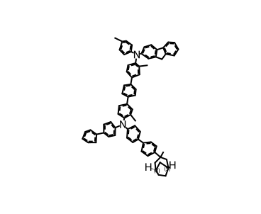 Cc1ccc(N(c2ccc3c(c2)Cc2ccccc2-3)c2ccc(-c3ccc(-c4ccc(N(c5ccc(-c6ccccc6)cc5)c5ccc(-c6ccc(C7(C)C[C@@H]8CC[C@@H](C8)C7)cc6)cc5)c(C)c4)cc3)cc2C)cc1